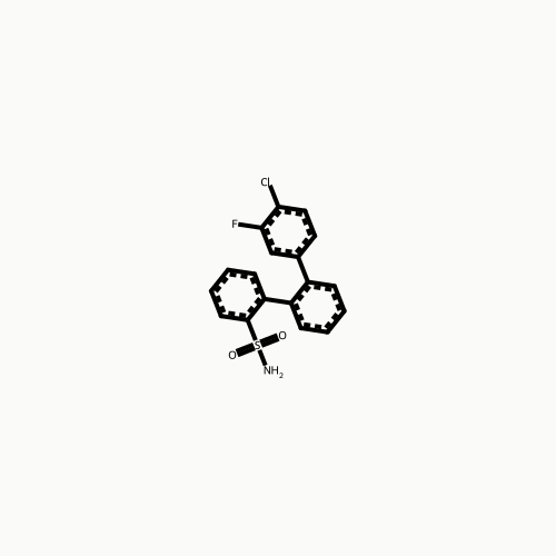 NS(=O)(=O)c1ccccc1-c1ccccc1-c1ccc(Cl)c(F)c1